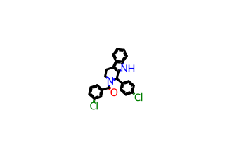 O=C(c1cccc(Cl)c1)N1CCc2c([nH]c3ccccc23)C1c1ccc(Cl)cc1